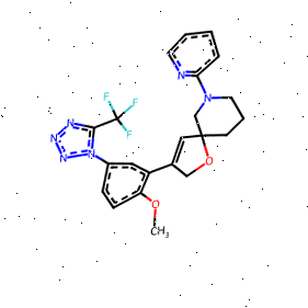 COc1ccc(-n2nnnc2C(F)(F)F)cc1C1=CC2(CCCN(c3ccccn3)C2)OC1